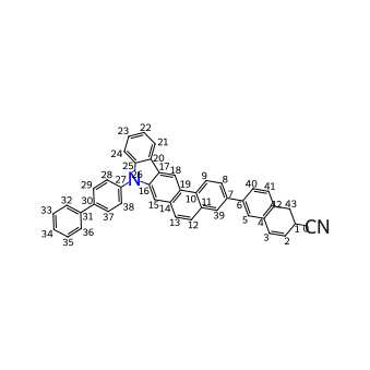 N#CC1C=Cc2cc(-c3ccc4c(ccc5cc6c(cc54)c4ccccc4n6-c4ccc(-c5ccccc5)cc4)c3)ccc2C1